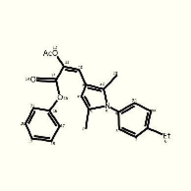 CCc1ccc(-n2c(C)cc(C=C(OC(C)=O)C(=O)Oc3ccccc3)c2C)cc1